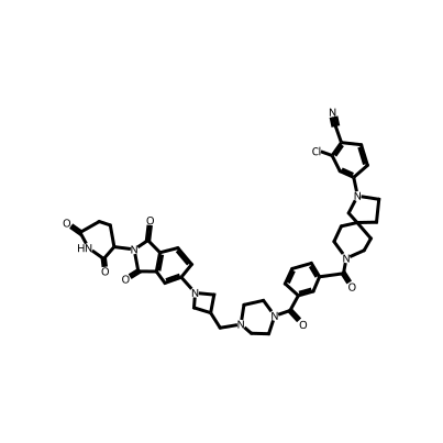 N#Cc1ccc(N2CCC3(CCN(C(=O)c4cccc(C(=O)N5CCN(CC6CN(c7ccc8c(c7)C(=O)N(C7CCC(=O)NC7=O)C8=O)C6)CC5)c4)CC3)C2)cc1Cl